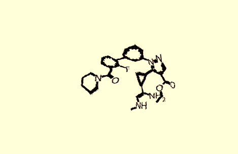 CCOC(=O)c1cnn(-c2cccc(-c3cccc(C(=O)N4CCCCC4)c3F)c2)c1C1C[C@@H]1/C(N)=C/NC